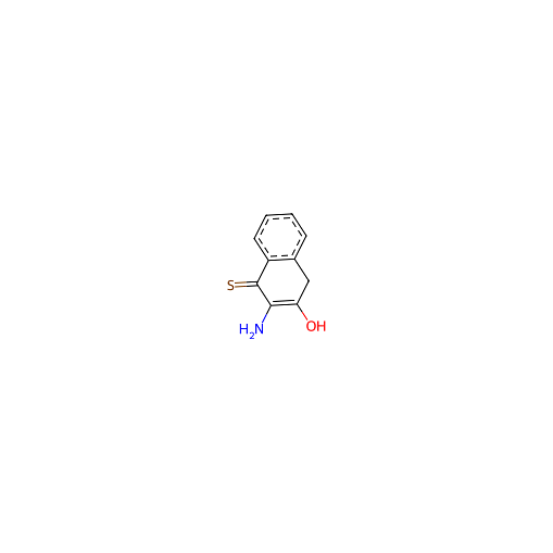 NC1=C(O)Cc2ccccc2C1=S